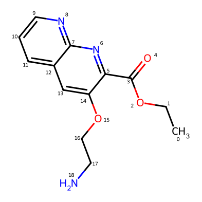 CCOC(=O)c1nc2ncccc2cc1OCCN